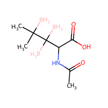 BC(C)(C)C(B)(B)C(NC(C)=O)C(=O)O